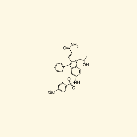 CC(O)Cn1c(/C=C/C(N)=O)c(-c2ccccc2)c2cc(NS(=O)(=O)c3ccc(C(C)(C)C)cc3)ccc21